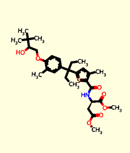 CCC(CC)(c1ccc(OCC(O)C(C)(C)C)c(C)c1)c1cc(C)c(C(=O)N[C@H](CC(=O)OC)C(=O)OC)s1